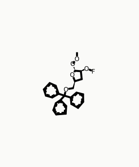 COO[C@H]1O[C@H](COC(c2ccccc2)(c2ccccc2)c2ccccc2)C[C@@H]1OF